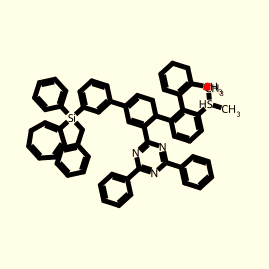 CC1=C(c2c(C3CC=C(c4cccc([Si](Cc5ccccc5)(C5=CCC=CC=C5)c5ccccc5)c4)C=C3c3nc(-c4ccccc4)nc(-c4ccccc4)n3)cccc2[SH](C)C)C=CCC1